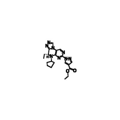 CCOC(=O)c1cnn(-c2ncc3c(n2)N(C2CCCC2)[C@H](CC)c2nncn2-3)c1